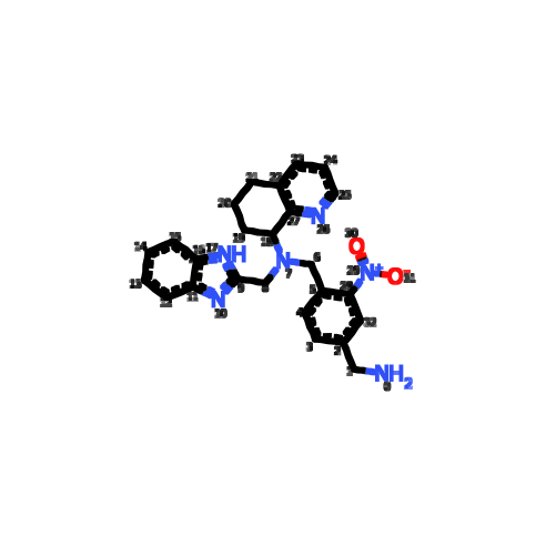 NCc1ccc(CN(Cc2nc3ccccc3[nH]2)C2CCCc3cccnc32)c([N+](=O)[O-])c1